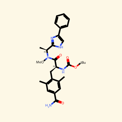 CON(C(=O)[C@H](Cc1c(C)cc(C(N)=O)cc1C)NC(=O)OC(C)(C)C)[C@@H](C)c1nc(-c2ccccc2)c[nH]1